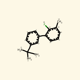 BC(B)(B)c1cccc(-c2cccc(C)c2F)c1